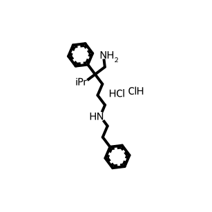 CC(C)C(CN)(CCCNCCc1ccccc1)c1ccccc1.Cl.Cl